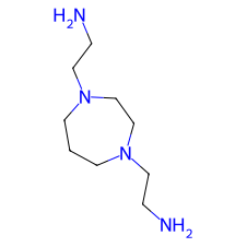 NCCN1CCCN(CCN)CC1